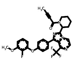 CC#CC(=O)N1CCCCC1c1nc(-c2ccc(Oc3cccc(OC)c3F)cc2)c2c(C(F)(F)F)nccn12